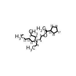 C=C(OCC[N+](CC)(CCC)CCCC)C1CCCC1